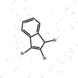 BrC1=C(Br)C(Br)c2ccccc21